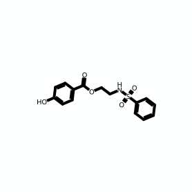 O=C(OCCNS(=O)(=O)c1ccccc1)c1ccc(O)cc1